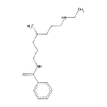 CCNCCCN(C)CCCNC(=O)c1ccccc1